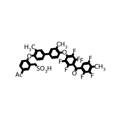 CC(=O)c1ccc(Oc2ccc(-c3ccc(Oc4c(F)c(F)c(C(=O)c5c(F)c(F)c(C)c(F)c5F)c(F)c4F)c(C)c3)cc2C)c(CS(=O)(=O)O)c1